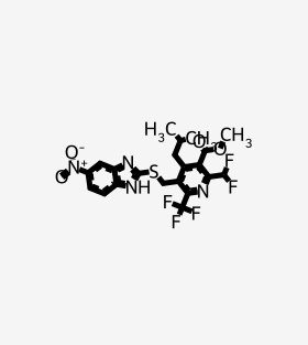 COC(=O)c1c(C(F)F)nc(C(F)(F)F)c(CSc2nc3cc([N+](=O)[O-])ccc3[nH]2)c1CC(C)C